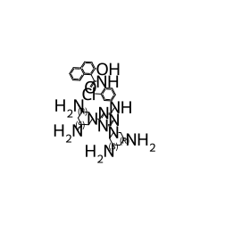 N[C@@H]1C[C@H](N)CN(c2nc(Nc3ccc(NC(=O)c4c(O)ccc5ccccc45)c(Cl)c3)nc(N3C[C@H](N)C[C@H](N)C3)n2)C1